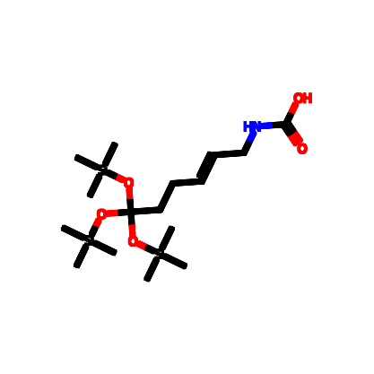 C[Si](C)(C)OC(CCC=CCNC(=O)O)(O[Si](C)(C)C)O[Si](C)(C)C